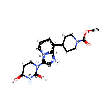 CC(C)(C)OC(=O)N1CCC(c2cccn3c(N4CCC(=O)NC4=O)cnc23)CC1